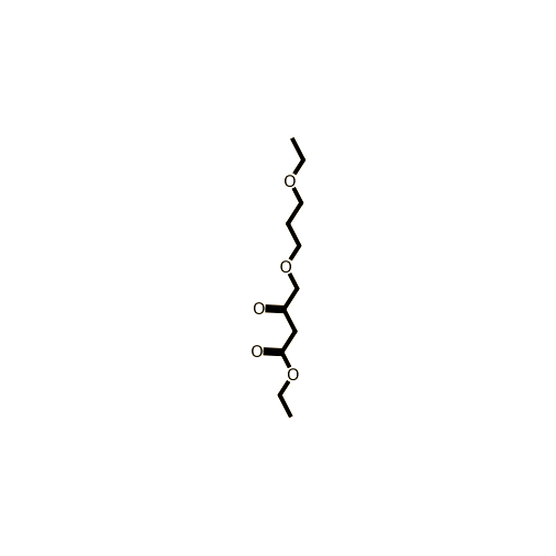 CCOCCCOCC(=O)CC(=O)OCC